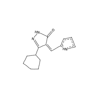 O=C1NN=C(C2CCCCC2)C1=Cc1ccc[nH]1